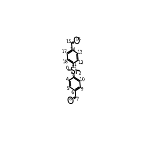 C[Si](C)(c1ccc(C=O)cc1)c1ccc(C=O)cc1